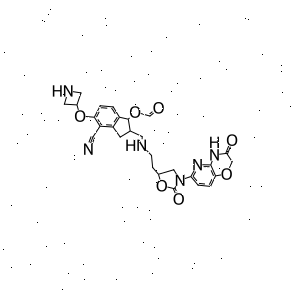 N#Cc1c(OC2CNC2)ccc2c1CC(CNCCC1CN(c3ccc4c(n3)NC(=O)CO4)C(=O)O1)C2OC=O